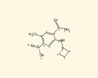 Cc1cc(C(N)=O)c(NC2CCC2)cc1C(=O)O